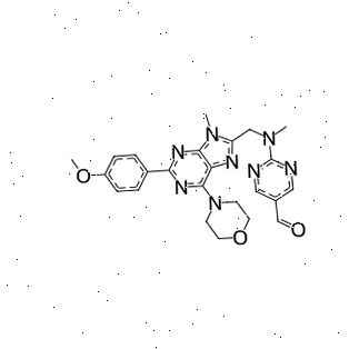 COc1ccc(-c2nc(N3CCOCC3)c3nc(CN(C)c4ncc(C=O)cn4)n(C)c3n2)cc1